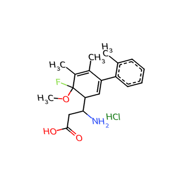 COC1(F)C(C)=C(C)C(c2ccccc2C)=CC1C(N)CC(=O)O.Cl